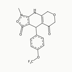 Cn1oc(=O)c2c1NC1=C(C(=O)COC1)C2c1ccc(OC(F)(F)F)cc1